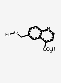 CCOCc1ccc2nccc(C(=O)O)c2c1